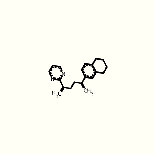 C=C(CCC(=C)c1ncccn1)c1ccc2c(c1)CCCC2